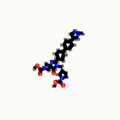 COC(=O)N1CC[C@@H](CN2C(=O)C3(CN(C(=O)OC)C3)N=C2c2ccc(-c3ccc(-c4cnn(C)c4)cc3)cc2)C1